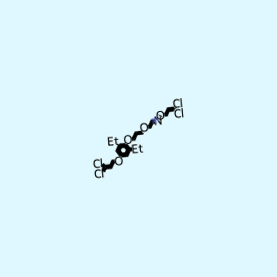 CCc1cc(OCC=C(Cl)Cl)cc(CC)c1OCCCOC/C=N/OCC=C(Cl)Cl